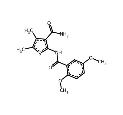 COc1ccc(OC)c(C(=O)Nc2sc(C)c(C)c2C(N)=O)c1